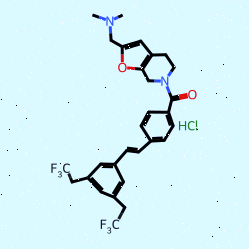 CN(C)Cc1cc2c(o1)CN(C(=O)c1ccc(C=Cc3cc(CC(F)(F)F)cc(CC(F)(F)F)c3)cc1)CC2.Cl